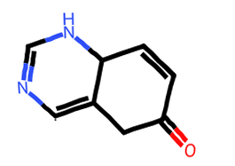 O=C1C=CC2NC=N[C]=C2C1